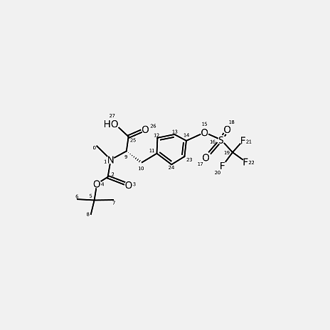 CN(C(=O)OC(C)(C)C)[C@@H](Cc1ccc(OS(=O)(=O)C(F)(F)F)cc1)C(=O)O